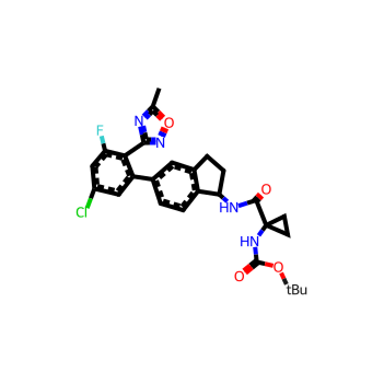 Cc1nc(-c2c(F)cc(Cl)cc2-c2ccc3c(c2)CCC3NC(=O)C2(NC(=O)OC(C)(C)C)CC2)no1